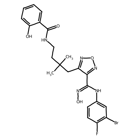 CC(C)(CCNC(=O)c1ccccc1O)Cc1nonc1C(=NO)Nc1ccc(F)c(Br)c1